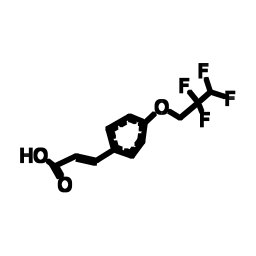 O=C(O)C=Cc1ccc(OCC(F)(F)C(F)F)cc1